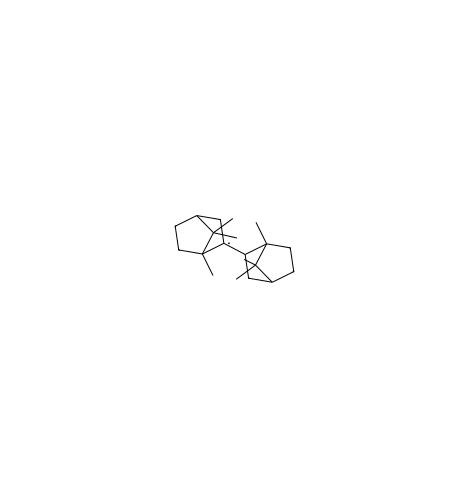 CC12CCC(C[C]1C1CC3CCC1(C)C3(C)C)C2(C)C